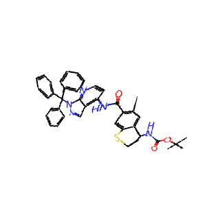 Cc1cc2c(cc1C(=O)Nc1ccnc3c1cnn3C(c1ccccc1)(c1ccccc1)c1ccccc1)SCCC2NC(=O)OC(C)(C)C